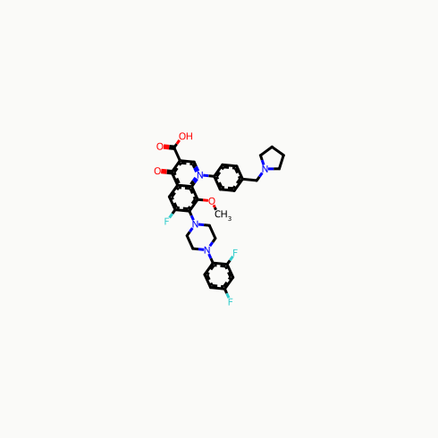 COc1c(N2CCN(c3ccc(F)cc3F)CC2)c(F)cc2c(=O)c(C(=O)O)cn(-c3ccc(CN4CCCC4)cc3)c12